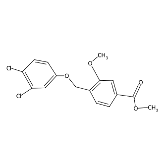 COC(=O)c1ccc(COc2ccc(Cl)c(Cl)c2)c(OC)c1